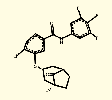 O=C(Nc1cc(F)c(F)c(F)c1)c1ccc(Cl)c(S[C@@H]2CC3CC[C@@H](C2)C3=O)c1